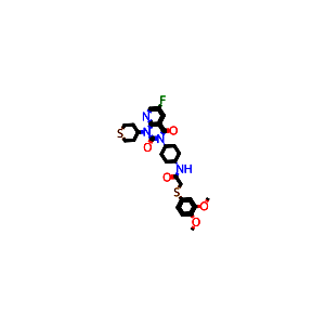 COc1ccc(SCC(=O)N[C@H]2CC[C@@H](n3c(=O)c4cc(F)cnc4n(C4CCSCC4)c3=O)CC2)cc1OC